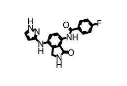 O=C(Nc1ccc(Nc2cc[nH]n2)c2c1C(=O)NC2)c1ccc(F)cc1